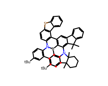 CC(C)(C)c1ccc(N2B3c4cc(C(C)(C)C)cc5c4N(c4c3c(cc3c4C(C)(C)c4ccccc4-3)-c3c2ccc2sc4ccccc4c32)C2(C)CCCCC52C)c(-c2ccccc2)c1